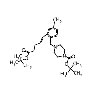 Cc1ccc(CN2CCN(C(=O)OC(C)(C)C)CC2)c(/C=C/CCC(=O)OC(C)(C)C)c1